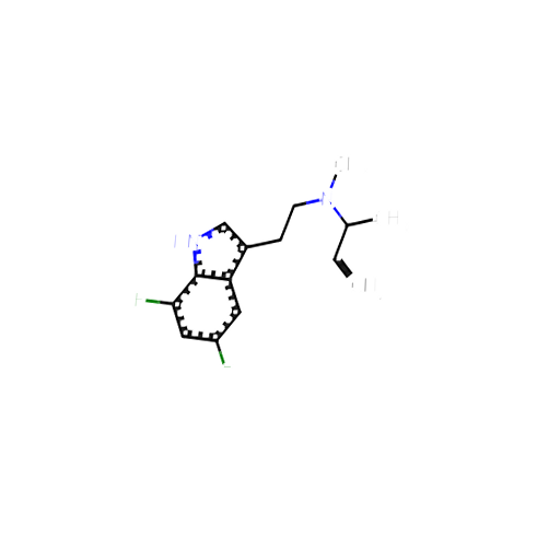 C=CC(C)N(C)CCc1c[nH]c2c(F)cc(F)cc12